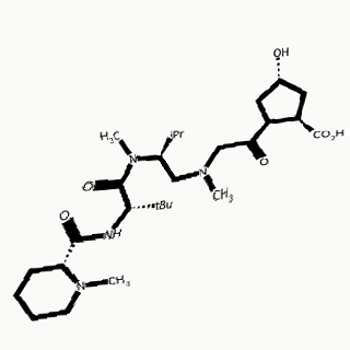 CC(C)[C@@H](CN(C)CC(=O)C1C[C@H](O)C[C@H]1C(=O)O)N(C)C(=O)[C@@H](NC(=O)[C@H]1CCCCN1C)C(C)(C)C